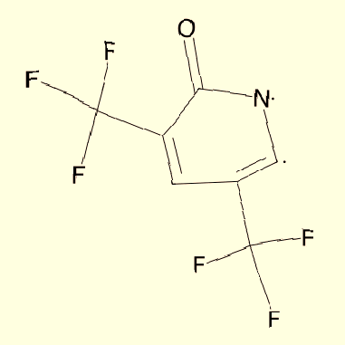 O=C1[N][C]=C(C(F)(F)F)C=C1C(F)(F)F